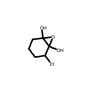 CCC1CCCC2(O)OC12O